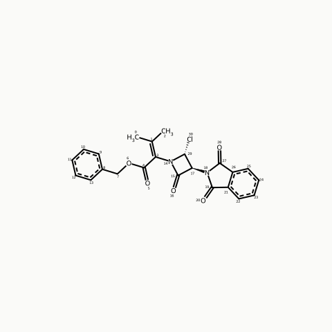 CC(C)=C(C(=O)OCc1ccccc1)N1C(=O)[C@H](N2C(=O)c3ccccc3C2=O)[C@H]1Cl